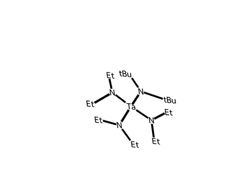 CC[N](CC)[Ta]([N](CC)CC)([N](CC)CC)[N](C(C)(C)C)C(C)(C)C